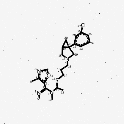 C/N=C(/c1ocnc1C)N(C)C(C)SCCCN1CC2CC2(c2cccc(Cl)c2)C1